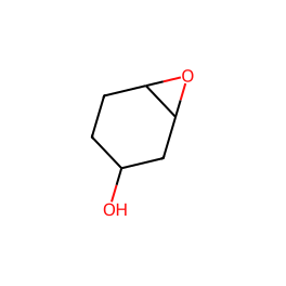 OC1CCC2OC2C1